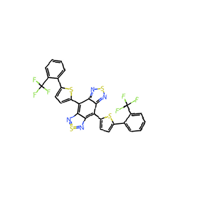 FC(F)(F)c1ccccc1-c1ccc(-c2c3c(c(-c4ccc(-c5ccccc5C(F)(F)F)s4)c4nsnc24)N=S=N3)s1